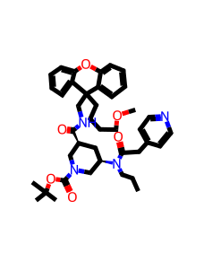 CCCN(C(=O)Cc1ccncc1)[C@@H]1C[C@H](C(=O)NCC2(CCCCOC)c3ccccc3Oc3ccccc32)CN(C(=O)OC(C)(C)C)C1